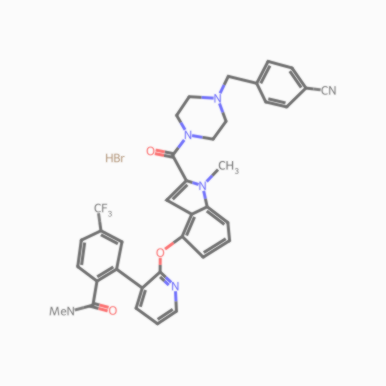 Br.CNC(=O)c1ccc(C(F)(F)F)cc1-c1cccnc1Oc1cccc2c1cc(C(=O)N1CCN(Cc3ccc(C#N)cc3)CC1)n2C